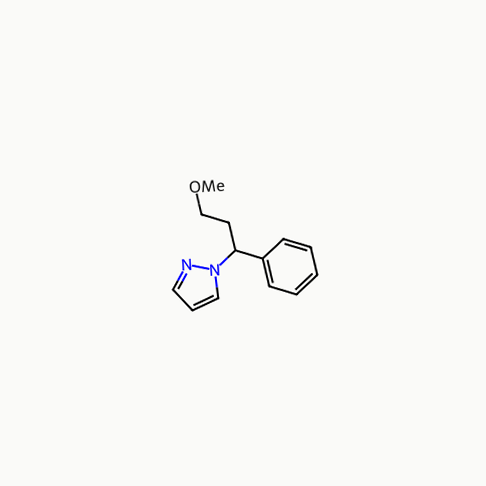 COCCC(c1ccccc1)n1cccn1